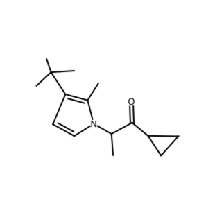 Cc1c(C(C)(C)C)ccn1C(C)C(=O)C1CC1